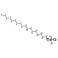 CCCCCCCCCCCCCCCCCCOP(C)(C)=O